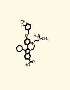 COc1cccc(COc2ccc3c(c2)N(CCN(C)C)CCn2c-3c(C3CCCCC3)c3ccc(C(=O)O)cc32)c1